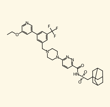 CCOc1cncc(-c2cc(CN3CCN(c4ccc(C(=O)NS(=O)(=O)CC56CC7CC(CC(C7)C5)C6)nn4)CC3)cc(C(F)(F)F)c2)c1